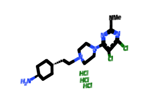 CNc1nc(Cl)c(Cl)c(N2CCN(CC[C@H]3CC[C@H](N)CC3)CC2)n1.Cl.Cl.Cl